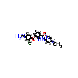 C/C=C1\C=CC(NC(=O)c2cccc(Oc3ccc(N)cc3Cl)c2)=NC1